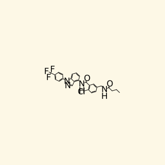 CCCC(=O)NCc1ccc(Cl)c(C(=O)Nc2cccc3c2cnn3-c2ccc(C(F)(F)F)cc2)c1